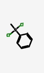 C[Si](Cl)(Cl)c1[c]cccc1